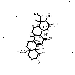 C[C@H]1[C@H](C)CC[C@]2(C(=O)O)CC[C@]3(C)C(=CC(=O)[C@@H]4[C@@]5(C)C[C@@H](O)[C@H](O)C(C)(CO)C5CC[C@]43C)[C@H]12